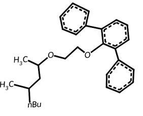 CCCCC(C)CC(C)OCCOc1c(-c2ccccc2)cccc1-c1ccccc1